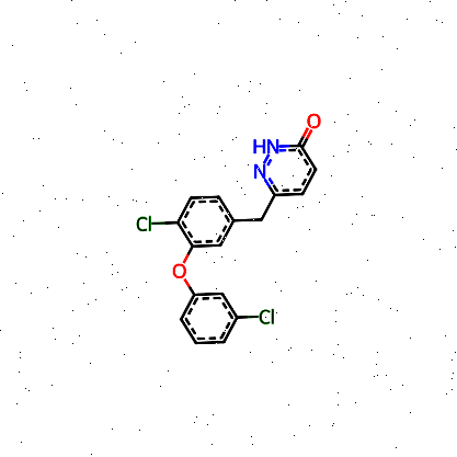 O=c1ccc(Cc2ccc(Cl)c(Oc3cccc(Cl)c3)c2)n[nH]1